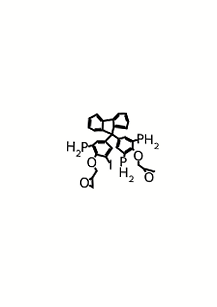 Pc1cc(C2(c3cc(P)c(OCC4CO4)c(I)c3)c3ccccc3-c3ccccc32)cc(P)c1OCC1CO1